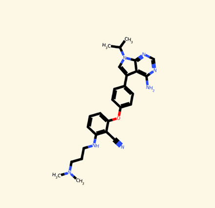 CC(C)n1cc(-c2ccc(Oc3cccc(NCCCN(C)C)c3C#N)cc2)c2c(N)ncnc21